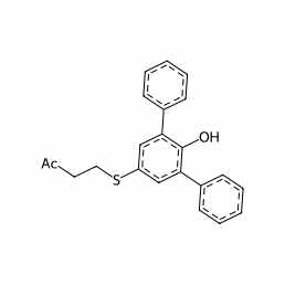 CC(=O)CCSc1cc(-c2ccccc2)c(O)c(-c2ccccc2)c1